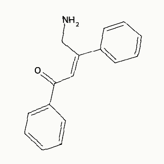 NCC(=CC(=O)c1ccccc1)c1ccccc1